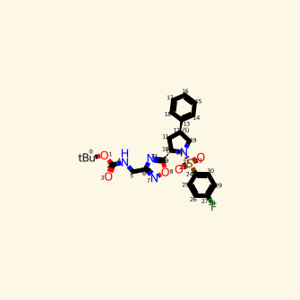 CC(C)(C)OC(=O)NCc1noc([C@@H]2C[C@@H](c3ccccc3)CN2S(=O)(=O)c2ccc(F)cc2)n1